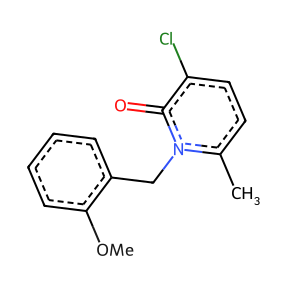 COc1ccccc1Cn1c(C)ccc(Cl)c1=O